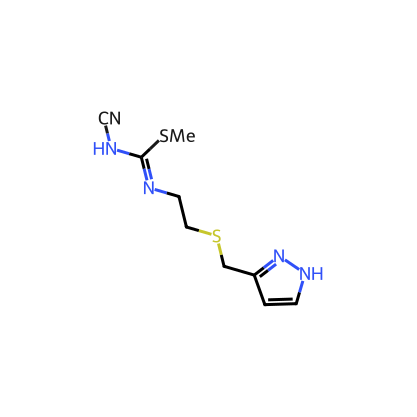 CS/C(=N\CCSCc1cc[nH]n1)NC#N